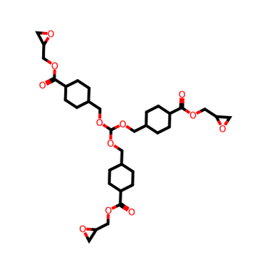 O=C(OCC1CO1)C1CCC(COC(OCC2CCC(C(=O)OCC3CO3)CC2)OCC2CCC(C(=O)OCC3CO3)CC2)CC1